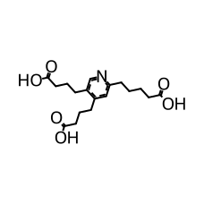 O=C(O)CCCCc1cc(CCCC(=O)O)c(CCCC(=O)O)cn1